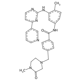 Cc1ccc(NC(=O)c2ccc(CN3CCN(C)C(=O)C3)cc2)cc1Nc1nccc(-c2cccnc2)n1